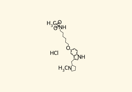 CN1CCCC1Cc1c[nH]c2ccc(OCCCCCCNS(C)(=O)=O)cc12.Cl